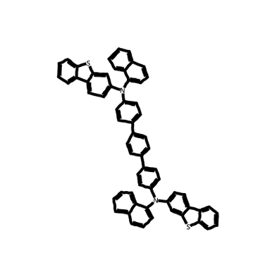 c1ccc2c(N(c3ccc(-c4ccc(-c5ccc(N(c6ccc7c(c6)sc6ccccc67)c6cccc7ccccc67)cc5)cc4)cc3)c3ccc4c(c3)sc3ccccc34)cccc2c1